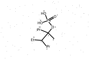 CCC(C(C)C)C(C)(OP(=O)(O)O)C(C)C